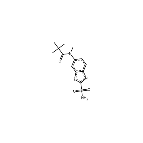 CN(C(=O)C(C)(C)C)c1ccc2nc(S(N)(=O)=O)sc2c1